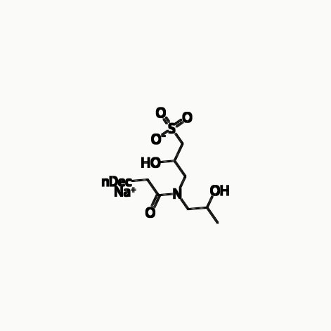 CCCCCCCCCCCC(=O)N(CC(C)O)CC(O)CS(=O)(=O)[O-].[Na+]